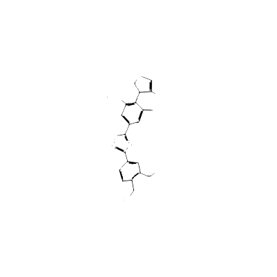 CC1=CSCC1c1c(C)cc(-c2nc(-c3ccc(CO)c(CO)c3)no2)cc1C